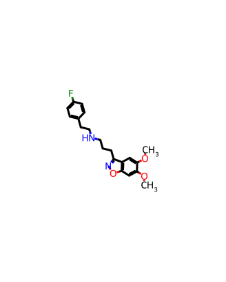 COc1cc2onc(CCCNCCc3ccc(F)cc3)c2cc1OC